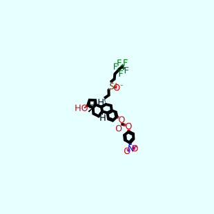 C[C@]12CC[C@@H]3c4ccc(OC(=O)Oc5ccc([N+](=O)[O-])cc5)cc4C[C@@H](CCC[S+]([O-])CCCC(F)(F)C(F)(F)F)[C@H]3[C@@H]1CC[C@@H]2O